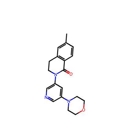 Cc1ccc2c(c1)CCN(c1cncc(N3CCOCC3)c1)C2=O